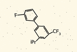 CC(C)c1cc(-c2cccc(F)c2)cc(C(F)(F)F)c1